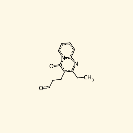 CCc1nc2ccccn2c(=O)c1CCC=O